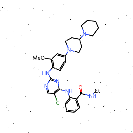 CCNC(=O)c1ccccc1Nc1nc(Nc2ccc(N3CCC(N4CCCCC4)CC3)cc2OC)ncc1Cl